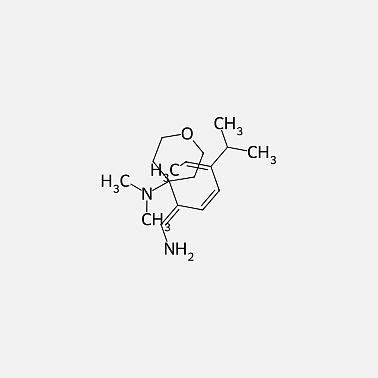 C\C=C(/C=C\C(=C/N)C1(N(C)C)CCOCC1)C(C)C